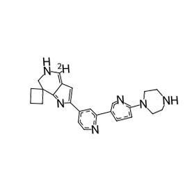 [2H]C1=C2C=C(c3ccnc(-c4ccc(N5CCNCC5)nc4)c3)N=C2C2(CCC2)CN1